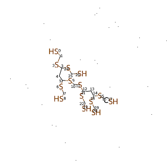 SCSC(CC(SCS)SCSC(CC(SCS)SCS)SCS)SCS